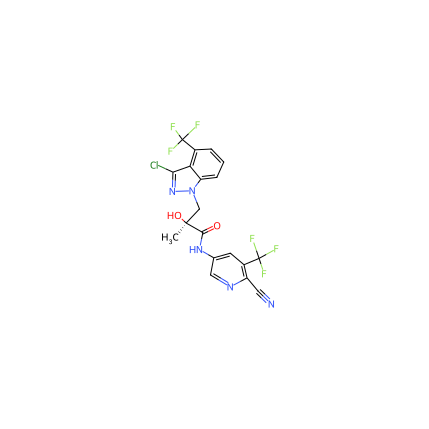 C[C@](O)(Cn1nc(Cl)c2c(C(F)(F)F)cccc21)C(=O)Nc1cnc(C#N)c(C(F)(F)F)c1